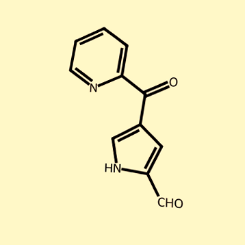 O=Cc1cc(C(=O)c2ccccn2)c[nH]1